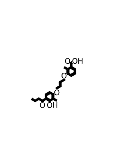 CCCC(=O)c1ccc(OCC=CCOc2cccc(C(=O)O)c2C)c(C)c1O